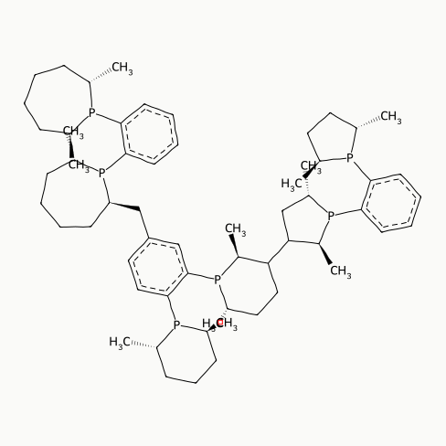 C[C@H]1CCCC[C@H](Cc2ccc(P3[C@@H](C)CCC[C@@H]3C)c(P3[C@@H](C)CCC(C4C[C@H](C)P(c5ccccc5P5[C@@H](C)CC[C@@H]5C)[C@H]4C)[C@@H]3C)c2)P1c1ccccc1P1[C@@H](C)CCCC[C@@H]1C